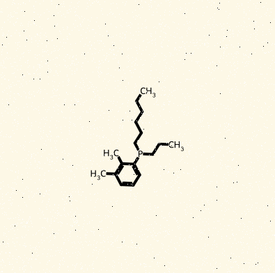 CCCCCCP(CCC)c1cccc(C)c1C